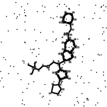 C[Si](C)(C)CCOCN(c1ccc2ncc(NCc3ccccn3)cc2n1)c1nnc(C2CCCC2)s1